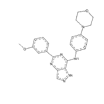 COc1cccc(-c2nc(Nc3ccc(N4CCOCC4)cc3)c3[nH]ncc3n2)c1